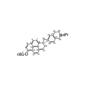 CCCCOc1ccc2ccc3c4c(ccc1c24)=CCC3Cc1ccc2c(c1)CCN(C(C)C)C2